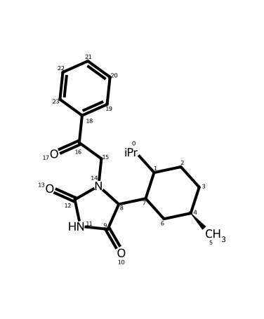 CC(C)C1CC[C@@H](C)CC1C1C(=O)NC(=O)N1CC(=O)c1ccccc1